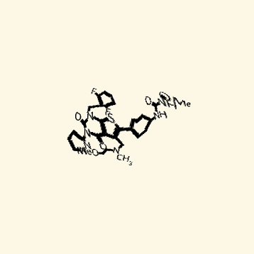 COCCN(C)Cc1c(-c2ccc(NC(=O)NOC)cc2)sc2c1c(=O)n(-c1cccnn1)c(=O)n2Cc1c(F)cccc1F